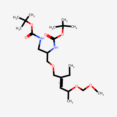 CC/C(=C\C(C)OCOC)COCC(CNC(=O)OC(C)(C)C)NC(=O)OC(C)(C)C